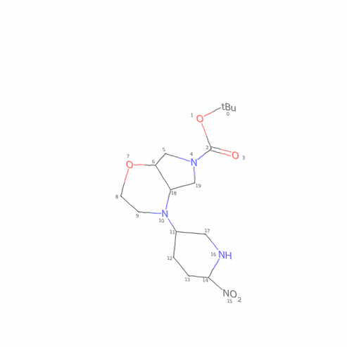 CC(C)(C)OC(=O)N1CC2OCCN(C3CCC([N+](=O)[O-])NC3)C2C1